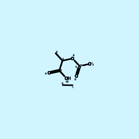 CC.CC(O[N+](=O)[O-])C(=O)O